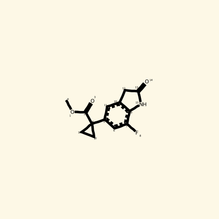 COC(=O)C1(c2cc(F)c3c(c2)CC(=O)N3)CC1